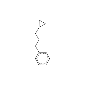 c1ccc(CCCC2CC2)cc1